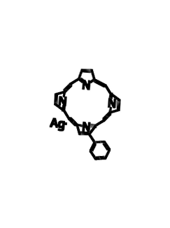 C1=CC2=NC1=CC1=NC(=CC3=NC(=CC4=NC(=C2)C=C4)C=C3c2ccccc2)C=C1.[Ag]